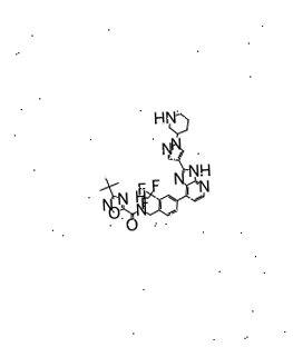 CC(C)(C)c1noc(C(=O)NCc2ccc(-c3ccnc4[nH]c(-c5cnn(C6CCCNC6)c5)nc34)cc2C(F)(F)F)n1